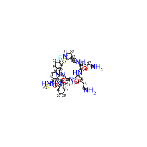 CSNC(=O)c1ccc(-c2ccc(F)c3c2CNC(=O)[C@H](Cc2c[nH]c4ccccc24)N(C)C(=O)[C@H](CCCCN)NC(=O)[C@H](CCCN)NCc2cccnc2S3)cc1